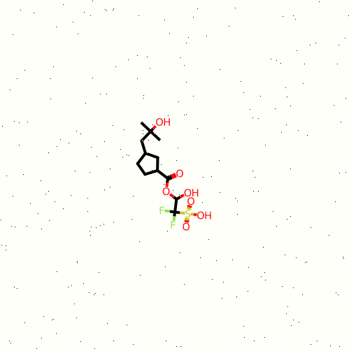 CC(C)(O)CC1CCC(C(=O)OC(O)C(F)(F)S(=O)(=O)O)C1